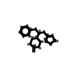 C1=C(CN(Cc2ccccc2)C2CCNCC2)OCO1